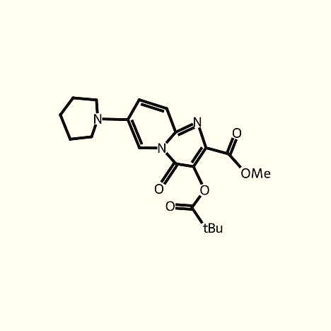 COC(=O)c1nc2ccc(N3CCCCC3)cn2c(=O)c1OC(=O)C(C)(C)C